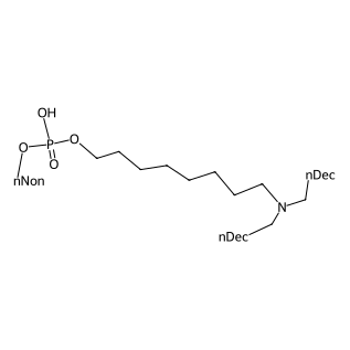 CCCCCCCCCCCN(CCCCCCCCCCC)CCCCCCCCOP(=O)(O)OCCCCCCCCC